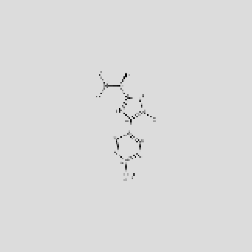 Cc1sc([C@H](C)N(C)C)nc1-c1ccc(C(=O)O)cc1